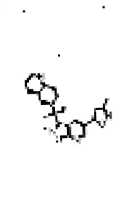 Cc1cc(-c2cnc3onc(C(F)(F)c4ccc5ncccc5c4)c3c2)on1